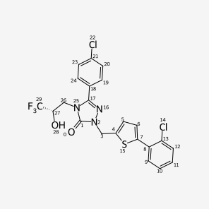 O=c1n(Cc2ccc(-c3ccccc3Cl)s2)nc(-c2ccc(Cl)cc2)n1C[C@H](O)C(F)(F)F